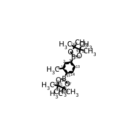 Cc1cc(B2OC(C)(C)C(C)(C)O2)ccc1B1OC(C)(C)C(C)(C)O1